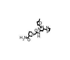 Cc1ccc(-c2nc(NC(=O)CN3CCCC(C(N)=O)C3)cc(-c3nccs3)n2)o1